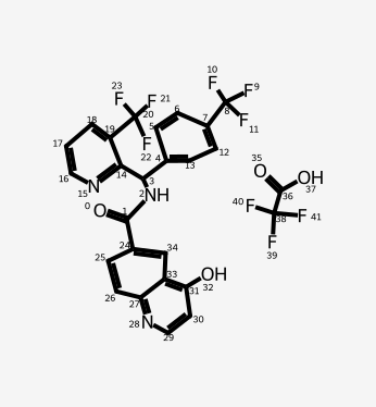 O=C(NC(c1ccc(C(F)(F)F)cc1)c1ncccc1C(F)(F)F)c1ccc2nccc(O)c2c1.O=C(O)C(F)(F)F